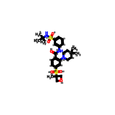 CC(C)(C)NS(=O)(=O)c1cccc(NC(=O)c2ccc(S(=O)(=O)C3(C)COC3)cc2N2CC[Si](C)(C)CC2)c1